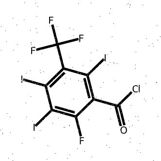 O=C(Cl)c1c(F)c(I)c(I)c(C(F)(F)F)c1I